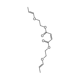 CC=COCCOC(=O)/C=C\C(=O)OCCOC=CC